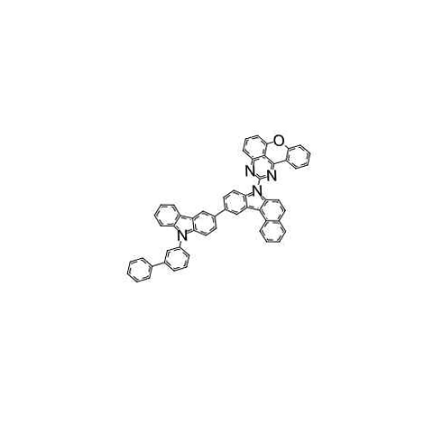 c1ccc(-c2cccc(-n3c4ccccc4c4cc(-c5ccc6c(c5)c5c7ccccc7ccc5n6-c5nc6c7c(cccc7n5)Oc5ccccc5-6)ccc43)c2)cc1